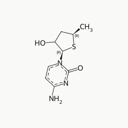 C[C@@H]1CC(O)[C@H](n2ccc(N)nc2=O)S1